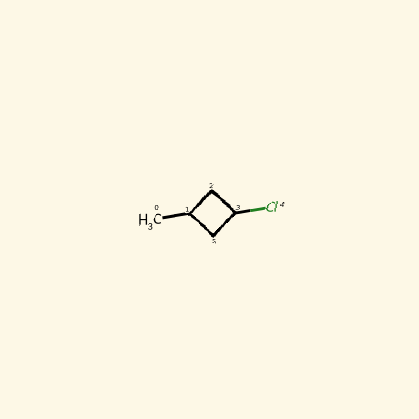 CC1CC(Cl)C1